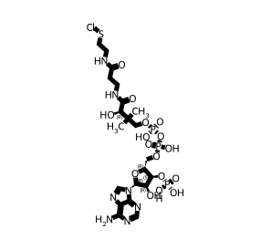 CC(C)(COP(=O)(O)OP(=O)(O)OC[C@H]1O[C@@H](n2cnc3c(N)ncnc32)[C@H](O)[C@@H]1OP(=O)(O)O)[C@@H](O)C(=O)NCCC(=O)NCCSCl